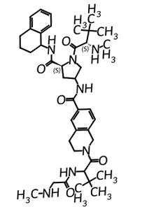 CNCC(=O)NC(C(=O)N1CCc2cc(C(=O)NC3C[C@@H](C(=O)NC4CCCc5ccccc54)N(C(=O)[C@@H](NC)C(C)(C)C)C3)ccc2C1)C(C)(C)C